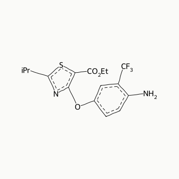 CCOC(=O)c1sc(C(C)C)nc1Oc1ccc(N)c(C(F)(F)F)c1